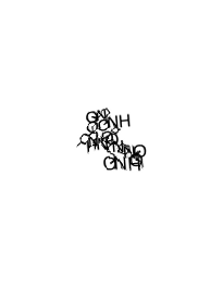 CCOC(=O)N1CCN(C(=O)C(CCC(=O)NC)NC(=O)c2cc(OCC(=O)N3CCCC3C(=O)NC3CCC3)c3ccc(C)cc3n2)CC1